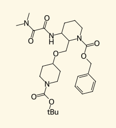 CN(C)C(=O)C(=O)NC1CCCN(C(=O)OCc2ccccc2)C1COC1CCN(C(=O)OC(C)(C)C)CC1